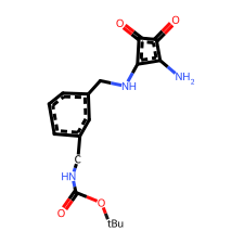 CC(C)(C)OC(=O)NCc1cccc(CNc2c(N)c(=O)c2=O)c1